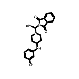 CCCC(N1CCC(Nc2cccc(C#N)c2)CC1)N1C(=O)c2ccccc2C1=O